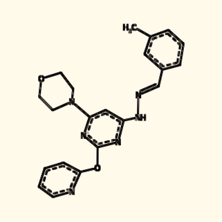 Cc1cccc(C=NNc2cc(N3CCOCC3)nc(Oc3ccccn3)n2)c1